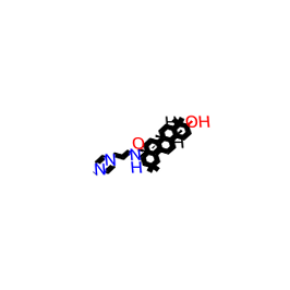 CN1CCN(CCCNC(=O)[C@]23CCC(C)(C)CC2=C2CC[C@@H]4[C@@]5(C)CC[C@H](O)C(C)(C)[C@@H]5CC[C@@]4(C)[C@]2(C)CC3)CC1